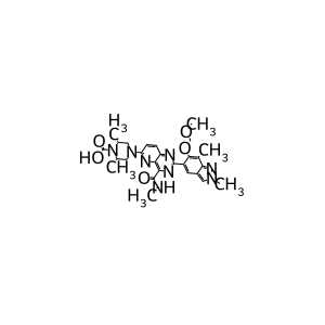 CNC(=O)c1nc(-c2cc3cn(C)nc3c(C)c2OCOC)nc2ccc(N3C[C@@H](C)N(C(=O)O)[C@@H](C)C3)nc12